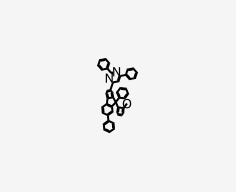 c1ccc(-c2ccc3c(c2)C2(c4ccccc4Oc4ccccc42)c2cc(-c4cc(-c5ccccc5)nc(-c5ccccc5)n4)ccc2-3)cc1